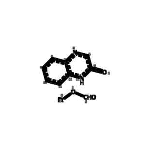 CCOC=O.O=c1cnc2ccccc2[nH]1